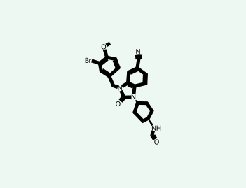 COc1ccc(Cn2c(=O)n([C@H]3CC[C@H](NC=O)CC3)c3ccc(C#N)cc32)cc1Br